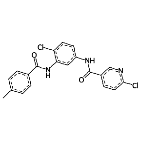 Cc1ccc(C(=O)Nc2cc(NC(=O)c3ccc(Cl)nc3)ccc2Cl)cc1